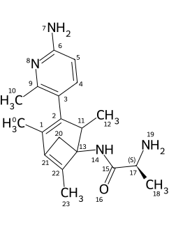 CC1=C(c2ccc(N)nc2C)C(C)C2(NC(=O)[C@H](C)N)CC1=C2C